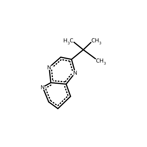 CC(C)(C)c1cnc2ncccc2n1